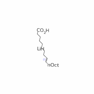 CCCCCCCC/C=C/CCCCCCCC(=O)O.[LiH]